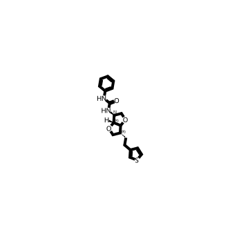 O=C(Nc1ccccc1)N[C@H]1COC2[C@H](CCc3ccsc3)CO[C@@H]21